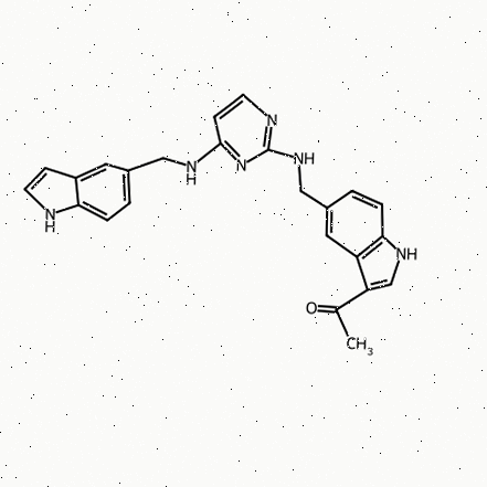 CC(=O)c1c[nH]c2ccc(CNc3nccc(NCc4ccc5[nH]ccc5c4)n3)cc12